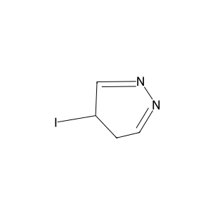 IC1C=NN=CC1